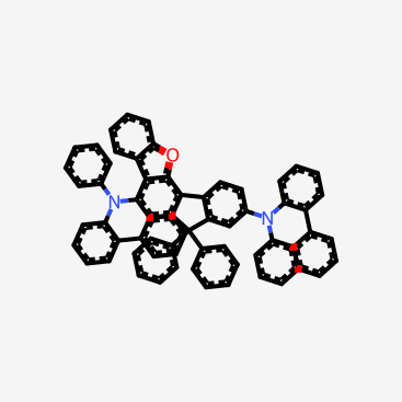 c1ccc(-c2ccccc2N(c2ccccc2)c2ccc3c(c2)C(c2ccccc2)(c2ccccc2)c2cc(N(c4ccccc4)c4ccccc4-c4ccccc4)c4c(oc5ccccc54)c2-3)cc1